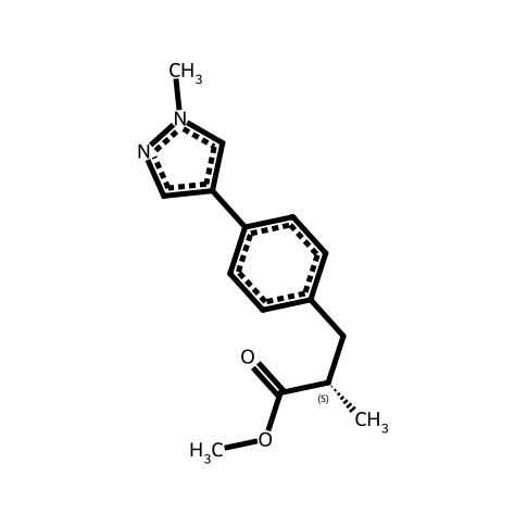 COC(=O)[C@@H](C)Cc1ccc(-c2cnn(C)c2)cc1